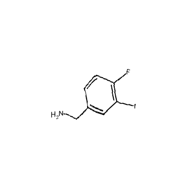 NCc1ccc(F)c(I)c1